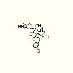 Cc1cc(C(=O)N(C(C)C)C2CCc3n[nH]cc3C2)c(C)n1Cc1cccc(Cl)c1